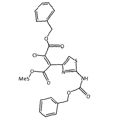 CSOC(=O)C(=C(Cl)C(=O)OCc1ccccc1)c1csc(NC(=O)OCc2ccccc2)n1